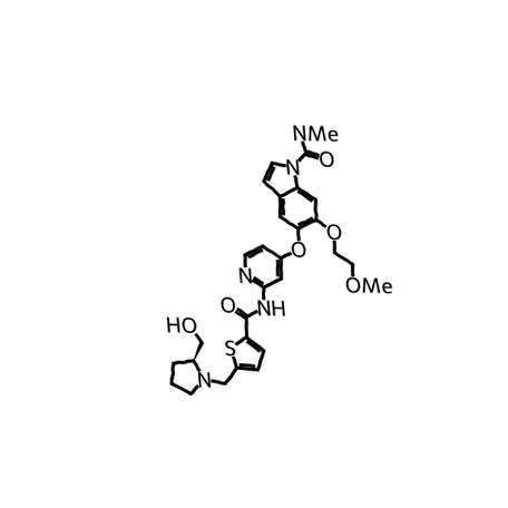 CNC(=O)n1ccc2cc(Oc3ccnc(NC(=O)c4ccc(CN5CCC[C@H]5CO)s4)c3)c(OCCOC)cc21